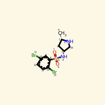 C[C@H]1C[C@@H](NS(=O)(=O)c2cc(Br)ccc2Br)CN1